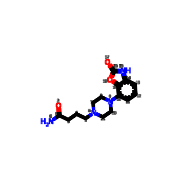 NC(=O)CCCN1CCN(c2cccc3[nH]c(=O)oc23)CC1